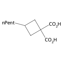 CCCCCC1CC(C(=O)O)(C(=O)O)C1